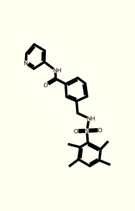 Cc1cc(C)c(C)c(S(=O)(=O)NCc2cccc(C(=O)Nc3cccnc3)c2)c1C